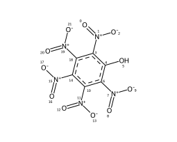 O=[N+]([O-])c1c(O)c([N+](=O)[O-])c([N+](=O)[O-])c([N+](=O)[O-])c1[N+](=O)[O-]